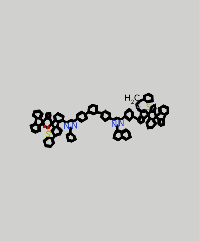 C=C1/C=C\C2=C(Sc3ccccc31)C1(c3ccccc3C3(c4ccccc4-c4ccccc43)c3ccccc31)c1cccc(-c3cccc(-c4cc(-c5ccc(-c6cccc(-c7ccc(-c8cc(-c9cccc%10c9-c9ccc%11c(sc%12ccccc%12%11)c9C%109c%10ccccc%10C%10(c%11ccccc%11-c%11ccccc%11%10)c%10ccccc%109)nc(-c9ccccc9)n8)cc7)c6)cc5)nc(-c5cccc6ccccc56)n4)c3)c12